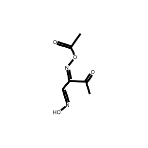 CC(=O)ON=C(C=NO)C(C)=O